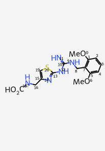 COc1cccc(OC)c1CNC(=N)Nc1nc(CNC(=O)O)cs1